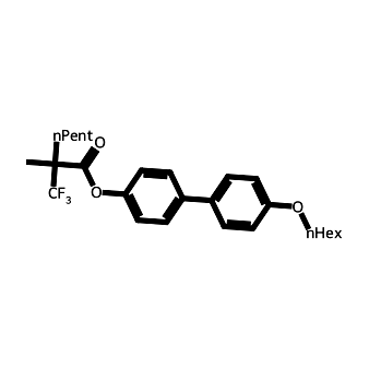 CCCCCCOc1ccc(-c2ccc(OC(=O)C(C)(CCCCC)C(F)(F)F)cc2)cc1